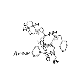 CC(=O)Nc1ccc(S(=O)(=O)N(CC(C)C)C[C@@H](N)[C@H](Cc2ccccc2)NC(=O)O[C@H]2CO[C@H]3OCC[C@H]32)cc1